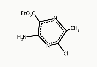 CCOC(=O)c1nc(C)c(Cl)nc1N